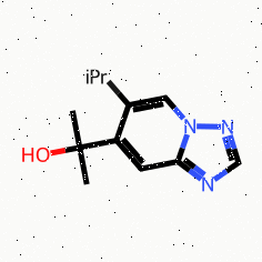 CC(C)c1cn2ncnc2cc1C(C)(C)O